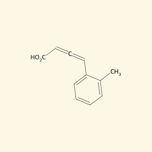 Cc1cc[c]cc1C=C=CC(=O)O